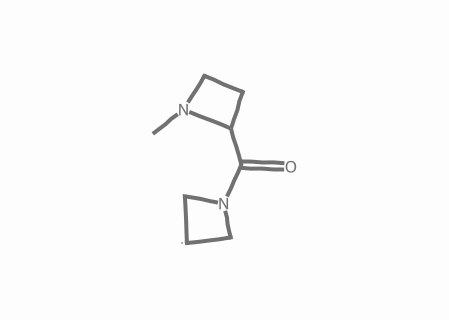 CN1CCC1C(=O)N1C[CH]C1